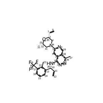 C=C[C@@H]1CN(c2cc3c(N[C@H](C=C)c4cccc(C(F)(F)F)c4C)nnc(C)c3cn2)C[C@H](C)O1